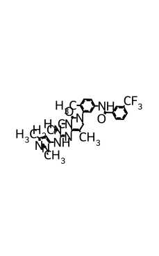 C=N/C(=N\C1=C(C)CN(c2cc(NC(=O)c3cccc(C(F)(F)F)c3)ccc2C)C(=O)N1C)Nc1cc(C)nn1C